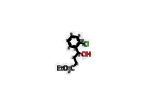 CCOC(=O)CCC(O)c1ccccc1Cl